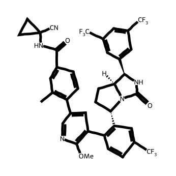 COc1ncc(-c2ccc(C(=O)NC3(C#N)CC3)cc2C)cc1-c1ccc(C(F)(F)F)cc1[C@@H]1CC[C@H]2[C@@H](c3cc(C(F)(F)F)cc(C(F)(F)F)c3)NC(=O)N12